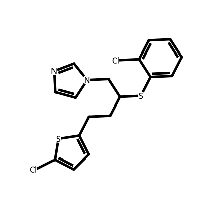 Clc1ccc(CCC(Cn2ccnc2)Sc2ccccc2Cl)s1